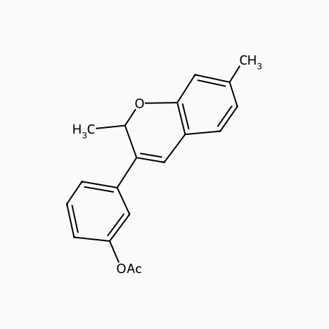 CC(=O)Oc1cccc(C2=Cc3ccc(C)cc3OC2C)c1